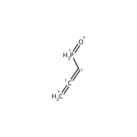 C=C=C[PH2]=O